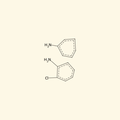 Nc1ccccc1.Nc1ccccc1Cl